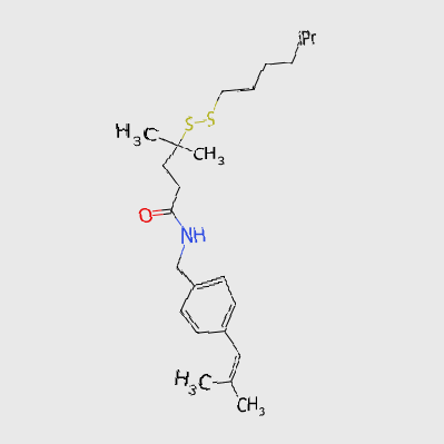 CC(C)=Cc1ccc(CNC(=O)CCC(C)(C)SSCCCCC(C)C)cc1